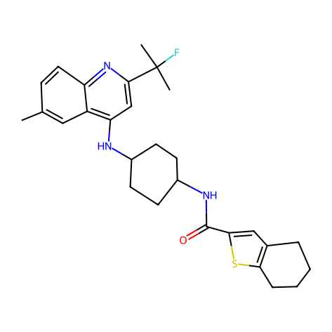 Cc1ccc2nc(C(C)(C)F)cc(NC3CCC(NC(=O)c4cc5c(s4)CCCC5)CC3)c2c1